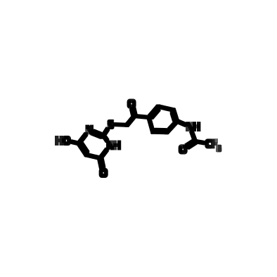 O=C(CSc1nc(O)cc(=O)[nH]1)c1ccc(NC(=O)C(F)(F)F)cc1